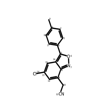 Cc1ccc(-c2onc3c(CC#N)cc(Cl)cc23)cc1